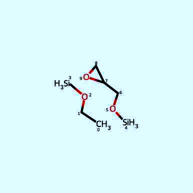 CCO[SiH3].[SiH3]OCC1CO1